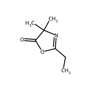 CCC1=NC(C)(C)C(=O)O1